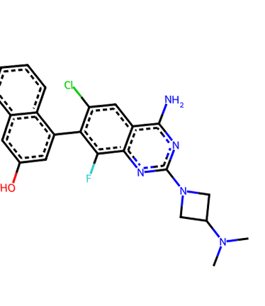 CN(C)C1CN(c2nc(N)c3cc(Cl)c(-c4cc(O)cc5ccccc45)c(F)c3n2)C1